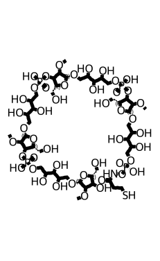 COC1C(O)[C@@H](CO)O[C@H]1OCC(O)C(O)C(O)COP(=O)(O)OC1C(OC)[C@H](OCC(O)C(O)C(O)COP(=O)(O)OC2C(OC)[C@H](OCC(O)C(O)C(O)COP(=O)(O)OC3C(OC)[C@H](OCC(O)C(O)C(O)COP(=O)(O)ONC(=O)CCS)O[C@@H]3CO)O[C@@H]2CO)O[C@@H]1CO